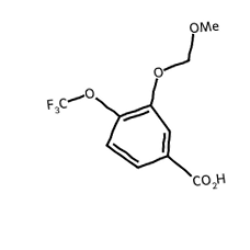 COCOc1cc(C(=O)O)ccc1OC(F)(F)F